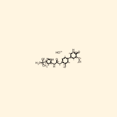 CCOc1cc(-c2ccc(CC(=O)Nc3cc(C(C)(C)C(F)(F)F)n[nH]3)c(F)c2)c[nH]c1=O.Cl